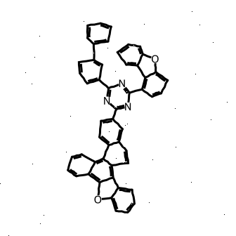 c1ccc(-c2cccc(-c3nc(-c4ccc5c(ccc6c5c5ccccc5c5oc7ccccc7c65)c4)nc(-c4cccc5oc6ccccc6c45)n3)c2)cc1